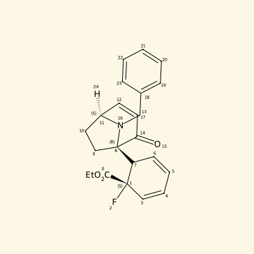 CCOC(=O)[C@]1(F)C=CC=CC1[C@]12CC[C@@H](C=CC1=O)N2Cc1ccccc1